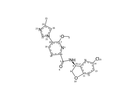 COc1nc(C(=O)N[C@@H]2COc3ccc(Cl)cc32)ccc1-n1cnc(C)c1